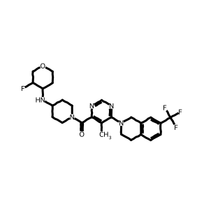 Cc1c(C(=O)N2CCC(NC3CCOCC3F)CC2)ncnc1N1CCc2ccc(C(F)(F)F)cc2C1